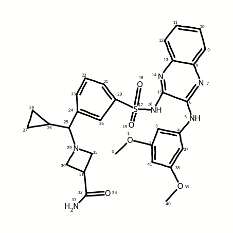 COc1cc(Nc2nc3ccccc3nc2NS(=O)(=O)c2cccc(C(C3CC3)N3CC(C(N)=O)C3)c2)cc(OC)c1